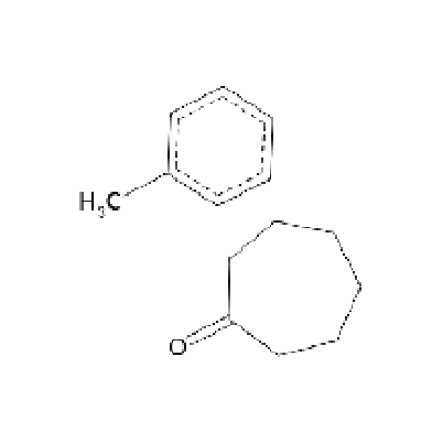 Cc1ccccc1.O=C1CCCCCC1